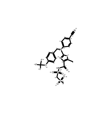 Cc1sc(N(Cc2ccc(OC(F)(F)F)cc2)c2ccc(C#N)cc2)nc1C(=O)NS(=O)(=O)CS(C)(=O)=O